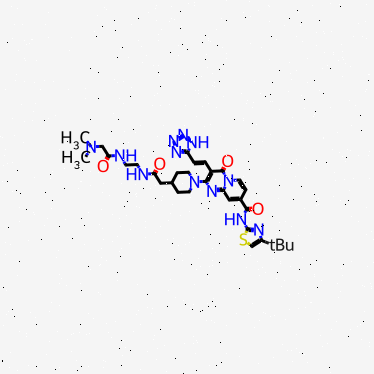 CN(C)CC(=O)NCCNC(=O)CC1CCN(c2nc3cc(C(=O)Nc4nc(C(C)(C)C)cs4)ccn3c(=O)c2/C=C/c2nnn[nH]2)CC1